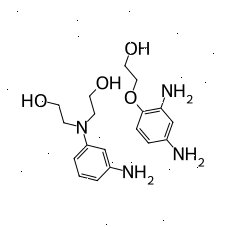 Nc1ccc(OCCO)c(N)c1.Nc1cccc(N(CCO)CCO)c1